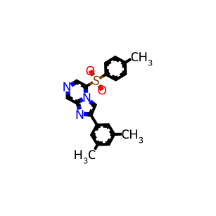 Cc1ccc(S(=O)(=O)c2cncc3nc(-c4cc(C)cc(C)c4)cn23)cc1